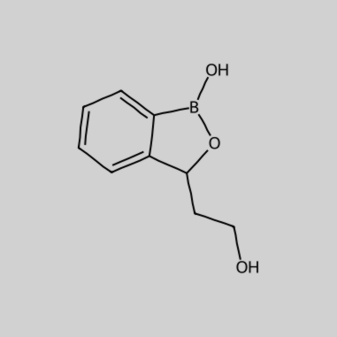 OCCC1OB(O)c2ccccc21